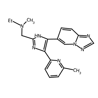 CCN(C)Cc1nc(-c2cccc(C)n2)c(-c2ccc3ncnn3c2)[nH]1